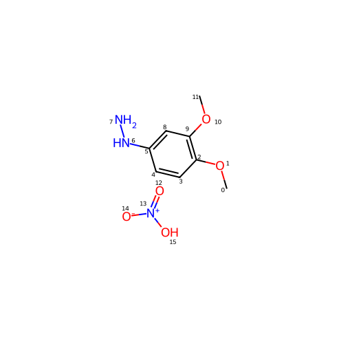 COc1ccc(NN)cc1OC.O=[N+]([O-])O